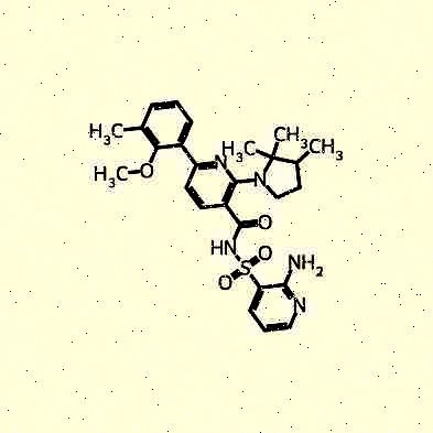 COc1c(C)cccc1-c1ccc(C(=O)NS(=O)(=O)c2cccnc2N)c(N2CCC(C)C2(C)C)n1